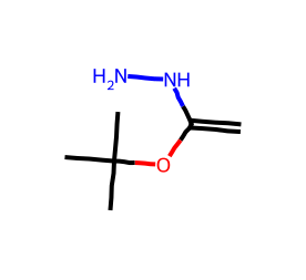 C=C(NN)OC(C)(C)C